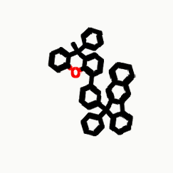 CC1(c2ccccc2)c2ccccc2Oc2c(-c3cccc(C4(c5ccccc5)c5ccccc5-c5cc6ccccc6cc54)c3)cccc21